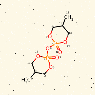 CC1COP(=O)(OP2(=O)OCC(C)CO2)OC1